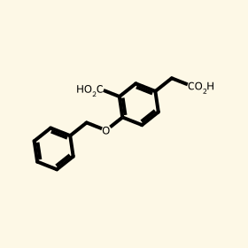 O=C(O)Cc1ccc(OCc2ccccc2)c(C(=O)O)c1